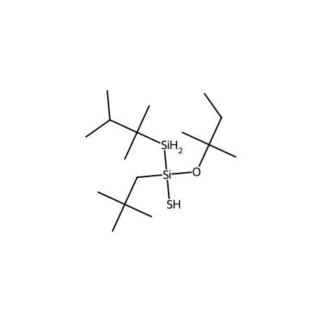 CCC(C)(C)O[Si](S)(CC(C)(C)C)[SiH2]C(C)(C)C(C)C